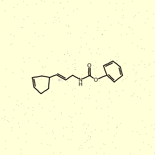 O=C(NC/C=C/C1CC=CCC1)Oc1ccccc1